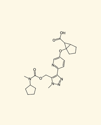 CN(C(=O)OCc1c(-c2ccc(OC34CCCC3C4C(=O)O)cn2)nnn1C)C1CCCC1